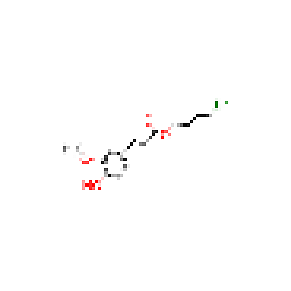 COc1cc(CCC(=O)OCCCCBr)ccc1O